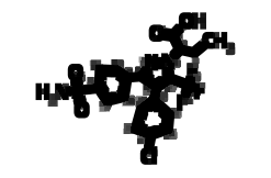 CCC(C(=O)O)n1nc(-c2ccc(S(N)(=O)=O)cc2)c(-c2ccc(Cl)cc2)c1C(F)(F)F